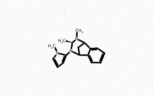 C[C@H]1N(C)C2CC(c3ccccc32)N1c1cccn1C